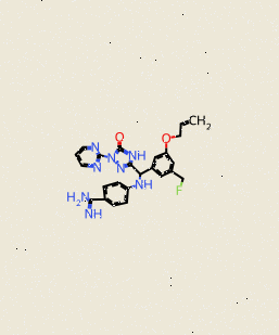 C=CCOc1cc(CF)cc(C(Nc2ccc(C(=N)N)cc2)c2nn(-c3ncccn3)c(=O)[nH]2)c1